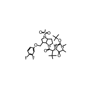 CC(C(=O)NC(C(=O)N1CCC2C1C(COc1ccc(F)c(F)c1)CN2S(C)(=O)=O)C(C)(C)C)N(C)C(=O)OC(C)(C)C